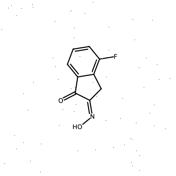 O=C1C(=NO)Cc2c(F)cccc21